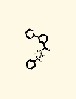 O=C(NNS(=O)(=O)c1ccccc1)c1cccc(-c2ncccn2)c1